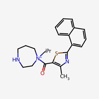 Cc1nc(-c2cccc3ccccc23)sc1C(=O)[N+]1(C(C)C)CCCNCC1